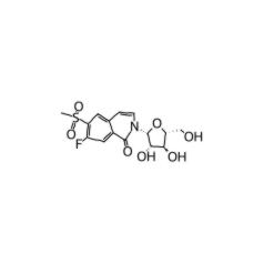 CS(=O)(=O)c1cc2ccn([C@@H]3O[C@H](CO)[C@@H](O)[C@@H]3O)c(=O)c2cc1F